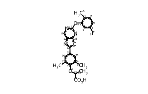 Cc1ccc(F)cc1Oc1ncc2nc(-c3cc(C)c(OC(C)C(=O)O)c(C)c3)oc2n1